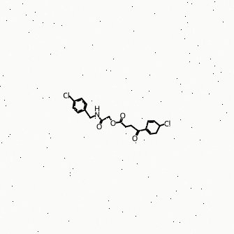 O=C(COC(=O)CCC(=O)C1=CCC(Cl)C=C1)NCc1ccc(Cl)cc1